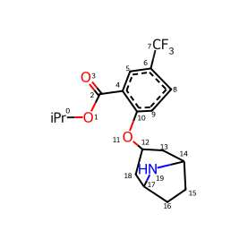 CC(C)OC(=O)c1cc(C(F)(F)F)ccc1OC1CC2CCC(C1)N2